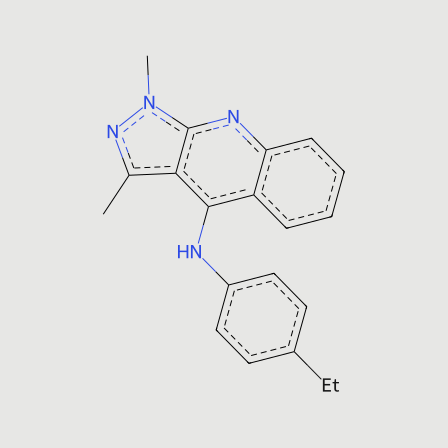 CCc1ccc(Nc2c3ccccc3nc3c2c(C)nn3C)cc1